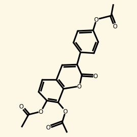 CC(=O)Oc1ccc(-c2cc3ccc(OC(C)=O)c(OC(C)=O)c3oc2=O)cc1